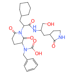 O=C1NCCC1CC(CO)NC(=O)C(CC1CCCCC1)N1C(=O)CCC(N(Cc2ccccc2)C(=O)O)C1=O